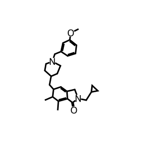 COc1cccc(CN2CCC(CC3C=C4CN(CC5CC5)C(=O)C4=C(C)C3C)CC2)c1